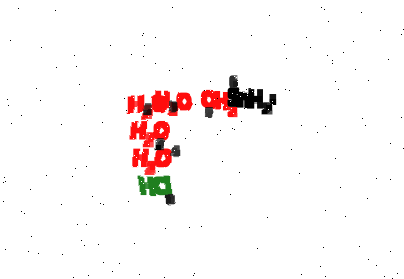 Cl.O.O.O.O.O.[SnH2]